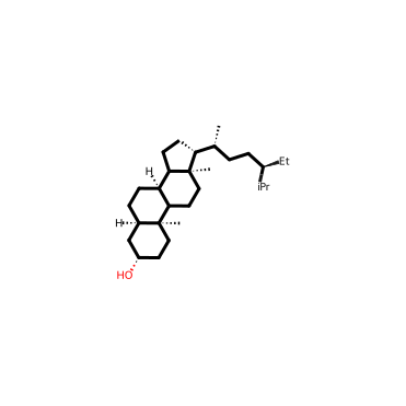 CC[C@H](CC[C@@H](C)[C@H]1CCC2[C@@H]3CC[C@@H]4C[C@@H](O)CC[C@]4(C)C3CC[C@@]21C)C(C)C